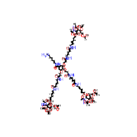 CC(=O)N[C@H]1[C@H](OCCCCCCNC(=O)CCCCNC(=O)CCO[C@@H]2[C@H](OCCC(=O)NCCCCC(=O)NCCCCCCO[C@@H]3O[C@H](COC(C)=O)[C@H](OC(C)=O)[C@H](OC(C)=O)[C@H]3NC(C)=O)C=C(C(=O)NCCCCCCN)C[C@H]2OCCC(=O)NCCCCC(=O)NCCCCCCO[C@@H]2O[C@H](COC(C)=O)[C@H](OC(C)=O)[C@H](OC(C)=O)[C@H]2NC(C)=O)O[C@H](COC(C)=O)[C@H](OC(C)=O)[C@@H]1OC(C)=O